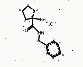 Cl.NC1(C(=O)NCc2ccccc2)CCCC1